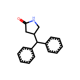 O=C1CC(C(c2ccccc2)c2ccccc2)CN1